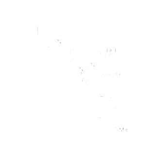 COc1ccc(-c2cn(CCN3CCCCC3)nc2O)cc1.Cl.Cl